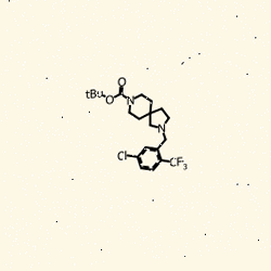 CC(C)(C)OC(=O)N1CCC2(CCN(Cc3cc(Cl)ccc3C(F)(F)F)C2)CC1